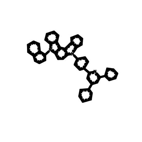 c1ccc(-c2cc(-c3ccccc3)nc(-c3ccc(-n4c5ccccc5c5c6c7ccccc7n(-c7cccc8ccccc78)c6ccc54)cc3)c2)cc1